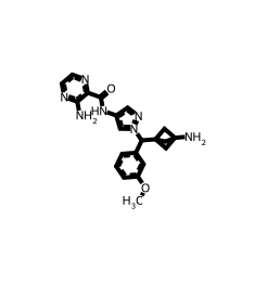 COc1cccc(C(n2cc(NC(=O)c3nccnc3N)cn2)C23CC(N)(C2)C3)c1